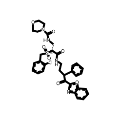 O=C(c1nc2ccccc2o1)C(CCNC(=O)[C@@H](CNC(=O)N1CCOCC1)S(=O)(=O)Cc1ccccc1Cl)c1ccccc1